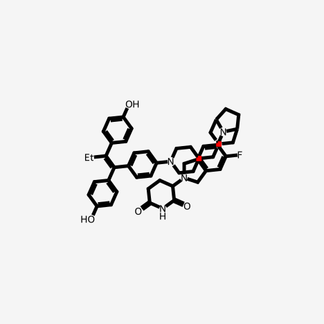 CCC(=C(c1ccc(O)cc1)c1ccc(N2CCC(CN3CC4CCC(C3)N4c3cc4c(cc3F)CN(C3CCC(=O)NC3=O)C4)CC2)cc1)c1ccc(O)cc1